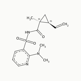 C=C[C@@H]1C[C@]1(C)C(=O)NS(=O)(=O)c1cccnc1N(C)C